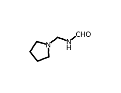 O=CNCN1CCCC1